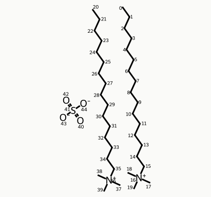 CCCCCCCCCCCCCCCC[N+](C)(C)C.CCCCCCCCCCCCCCCC[N+](C)(C)C.O=S(=O)([O-])[O-]